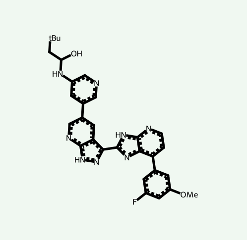 COc1cc(F)cc(-c2ccnc3[nH]c(-c4n[nH]c5ncc(-c6cncc(NC(O)CC(C)(C)C)c6)cc45)nc23)c1